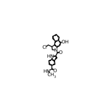 CNC(=O)c1ccc2[nH]c(C(=O)N3CC(CCl)c4c3cc(O)c3ccccc43)cc2c1